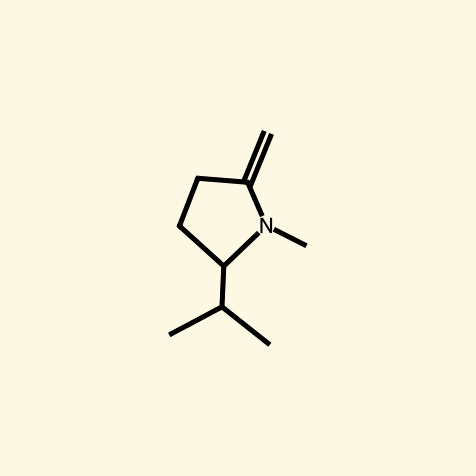 C=C1CCC(C(C)C)N1C